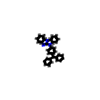 c1ccc(C(c2ccccc2)c2ccc(-n3c4ccccc4n4c5ccccc5nc34)cc2)cc1